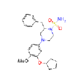 COc1ccc(N2CCN(S(N)(=O)=O)C(Cc3ccccc3)C2)cc1OC1CCCC1